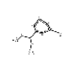 NCC(CN)c1cccc(Br)c1